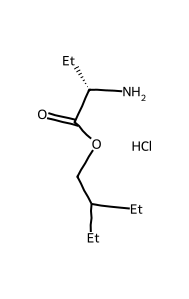 CCC(CC)COC(=O)[C@@H](N)CC.Cl